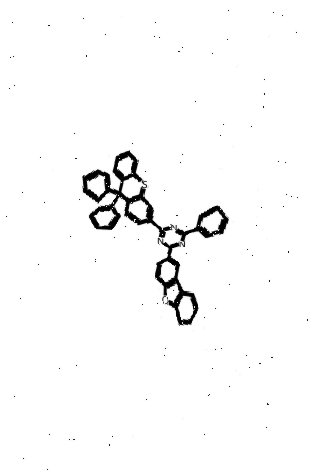 C1=Cc2c(oc3ccc(-c4nc(-c5ccccc5)nc(-c5ccc6c(c5)Sc5ccccc5C6(c5ccccc5)c5ccccc5)n4)cc23)CC1